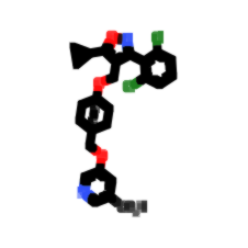 O=C(O)c1cncc(OCC23CCC(OCc4c(-c5c(Cl)cccc5Cl)noc4C4CC4)(CC2)CC3)c1